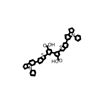 O=C(O)c1cc(-c2cc(C(=O)O)cc(-c3cc4ccc(-c5ccc6c(c5)N(c5ccccc5)C5CCCC65)cc4s3)c2)cc(-c2cc3ccc(-c4ccc5c(c4)N(c4ccccc4)C4CCCC54)cc3s2)c1